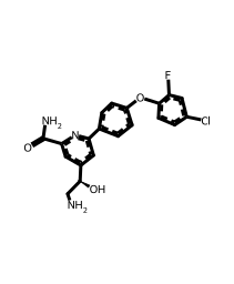 NC[C@H](O)c1cc(C(N)=O)nc(-c2ccc(Oc3ccc(Cl)cc3F)cc2)c1